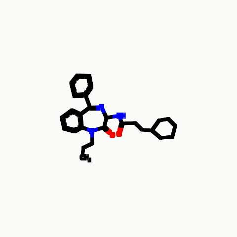 CCCN1C(=O)C(NC(=O)CCC2CCCCC2)N=C(c2ccccc2)c2ccccc21